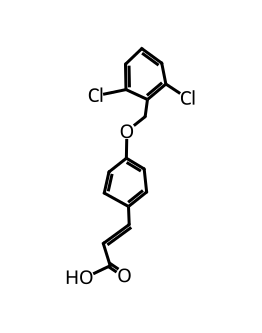 O=C(O)/C=C/c1ccc(OCc2c(Cl)cccc2Cl)cc1